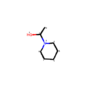 CC(O)N1[CH]CCCC1